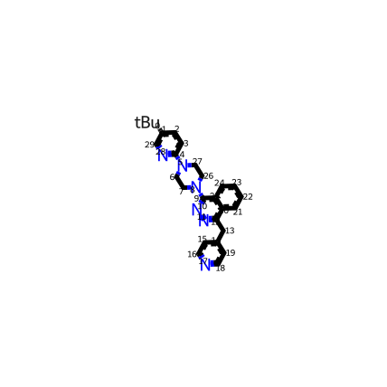 CC(C)(C)c1ccc(N2CCN(c3nnc(Cc4ccncc4)c4ccccc34)CC2)nc1